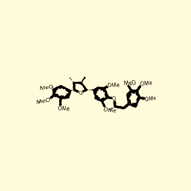 COc1cc(C[C@H](C)Oc2c(OC)cc([C@@H]3O[C@H](c4cc(OC)c(OC)c(OC)c4)[C@H](C)[C@H]3C)cc2OC)cc(OC)c1OC